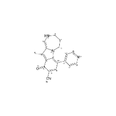 Cc1c2c(n3c1=CNCCC3)=C(c1ccncc1)C=C(C#N)C2=O